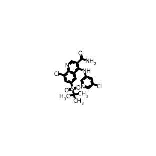 CC(C)(C)S(=O)(=O)c1cc(Cl)c2ncc(C(N)=O)c(Nc3cncc(Cl)c3)c2c1